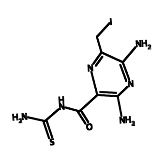 NC(=S)NC(=O)c1nc(CI)c(N)nc1N